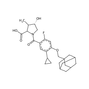 CC1C(C(=O)O)N(C(=O)c2cc(C3CC3)c(OCC34CC5CC(CC(C5)C3)C4)cc2F)C[C@H]1O